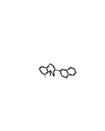 [c]1cccc2ccc(-c3ccc4ccccc4c3)nc12